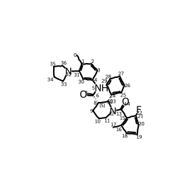 Cc1ccc(NC(=O)[C@H]2CCCN(C(=O)c3c(C)cccc3F)[C@H]2c2ccccc2)cc1N1CCCC1